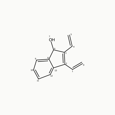 C=CC1=C(C=C)C(O)c2ccccc21